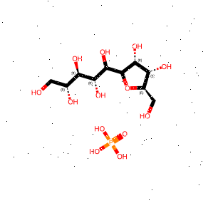 O=P(O)(O)O.OC[C@@H](O)[C@@H](O)[C@@H](O)C(O)C1O[C@H](CO)[C@@H](O)[C@H]1O